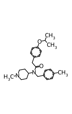 Cc1ccc(CN(C(=O)Cc2ccc(OC(C)C)cc2)C2CCN(C)CC2)cc1